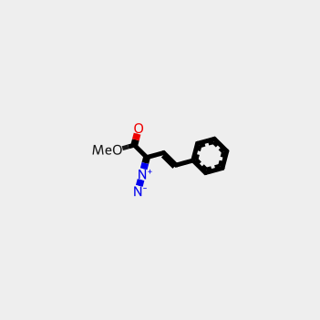 COC(=O)C(C=Cc1ccccc1)=[N+]=[N-]